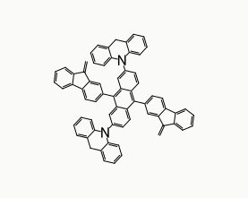 C=C1c2ccccc2-c2ccc(-c3c4ccc(N5c6ccccc6Cc6ccccc65)cc4c(-c4ccc5c(c4)C(=C)c4ccccc4-5)c4cc(N5c6ccccc6Cc6ccccc65)ccc34)cc21